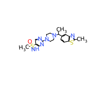 Cc1nc2cc(C(C)N3CCN(c4ncc(S(C)(=N)=O)cn4)CC3)ccc2s1